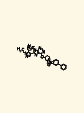 CCn1ncc(-c2nc3c(O[C@H]4CCN([SH]5(=O)c6ccc(-c7ccccc7)cc65)C4)ncnc3n2C)c1C